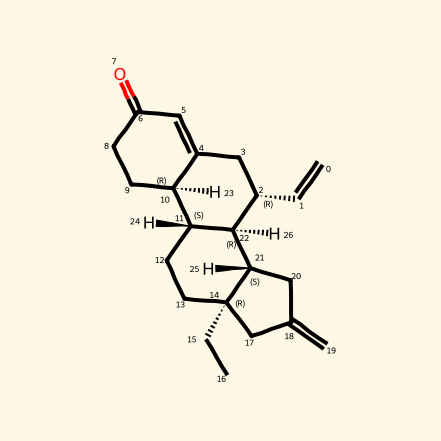 C=C[C@H]1CC2=CC(=O)CC[C@@H]2[C@H]2CC[C@]3(CC)CC(=C)C[C@H]3[C@@H]21